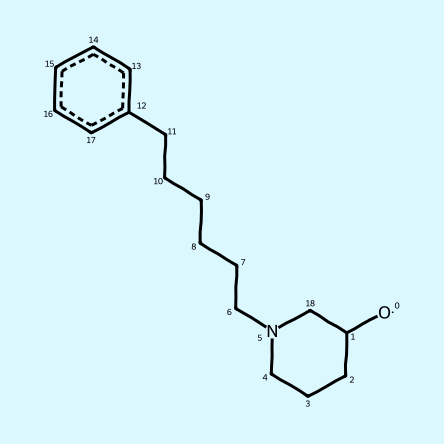 [O]C1CCCN(CCCCCCc2ccccc2)C1